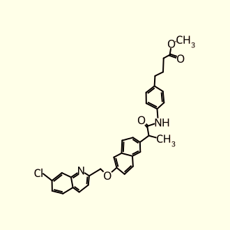 COC(=O)CCCc1ccc(NC(=O)C(C)c2ccc3cc(OCc4ccc5ccc(Cl)cc5n4)ccc3c2)cc1